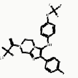 C=C(N1CCn2c(nc(-c3ccc(F)cc3)c2Nc2ccc(OC(F)(F)F)cc2)C1)C(C)(C)N